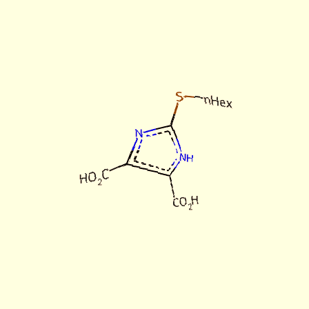 CCCCCCSc1nc(C(=O)O)c(C(=O)O)[nH]1